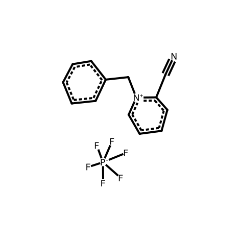 F[P-](F)(F)(F)(F)F.N#Cc1cccc[n+]1Cc1ccccc1